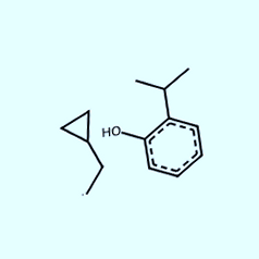 CC(C)c1ccccc1O.[CH2]CC1CC1